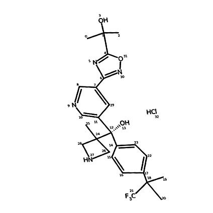 CC(C)(O)c1nc(-c2cncc([C@@](O)(c3ccc(C(C)(C)C(F)(F)F)cc3)C3(C)CNC3)c2)no1.Cl